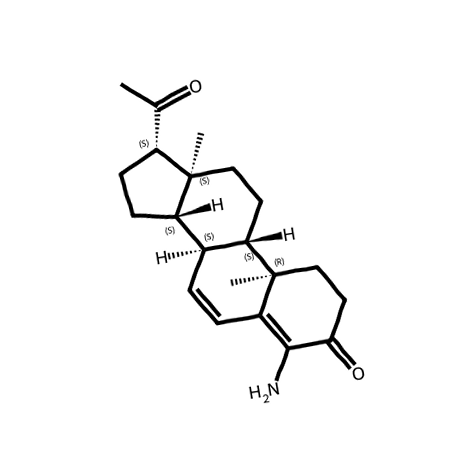 CC(=O)[C@H]1CC[C@H]2[C@@H]3C=CC4=C(N)C(=O)CC[C@]4(C)[C@H]3CC[C@]12C